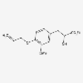 C=CCOc1ccc(CC(O)C(=O)OCC)cc1OC